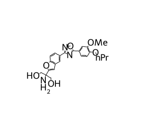 CCCOc1ccc(-c2nc(-c3ccc4oc(C(N)(CO)CO)cc4c3)no2)cc1OC